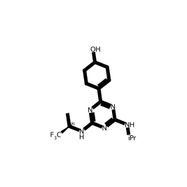 CC(C)Nc1nc(N[C@H](C)C(F)(F)F)nc(C2=CCC(O)CC2)n1